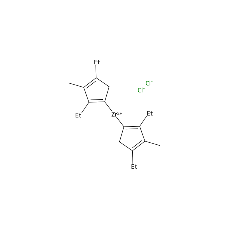 CCC1=C(C)C(CC)=[C]([Zr+2][C]2=C(CC)C(C)=C(CC)C2)C1.[Cl-].[Cl-]